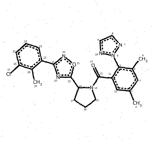 Cc1cc(C)c(-n2nccn2)c(C(=O)N2CCCC2c2nc(-c3cccc(Cl)c3C)no2)c1